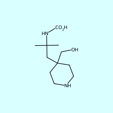 CC(C)(CC1(CO)CCNCC1)NC(=O)O